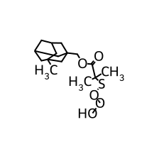 CC12CC3CC(C1)CC(COC(=O)C(C)(C)SOOO)(C3)C2